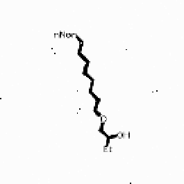 CCCCCCCCCCCCCCCCCOCC(O)CC